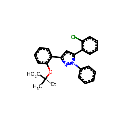 CC[C@@](C)(Oc1ccccc1-c1cc(-c2ccccc2Cl)n(-c2ccccc2)n1)C(=O)O